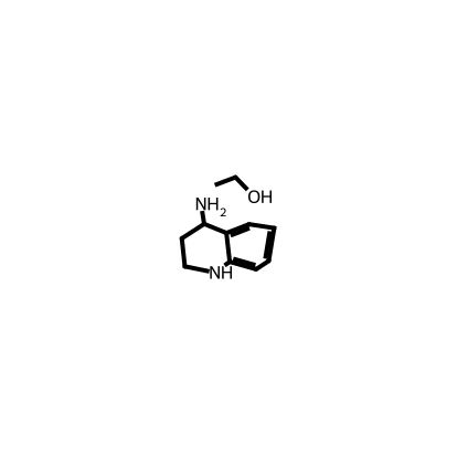 CCO.NC1CCNc2ccccc21